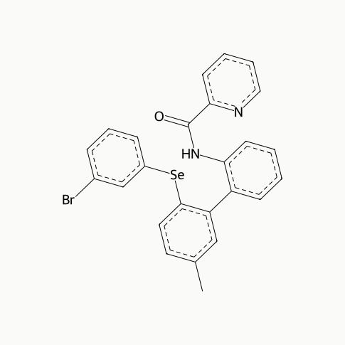 Cc1ccc([Se]c2cccc(Br)c2)c(-c2ccccc2NC(=O)c2ccccn2)c1